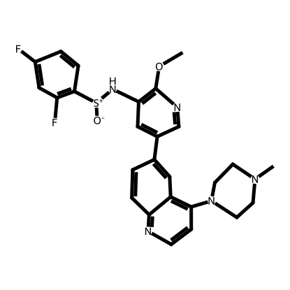 COc1ncc(-c2ccc3nccc(N4CCN(C)CC4)c3c2)cc1N[S+]([O-])c1ccc(F)cc1F